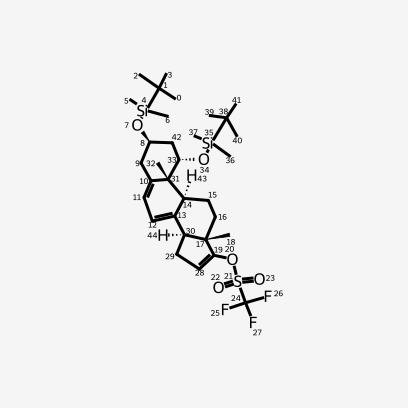 CC(C)(C)[Si](C)(C)O[C@@H]1CC2=CC=C3[C@H](CC[C@]4(C)C(OS(=O)(=O)C(F)(F)F)=CC[C@@H]34)[C@@]2(C)[C@@H](O[Si](C)(C)C(C)(C)C)C1